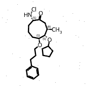 C[C@@H]1CC(=O)[C@@H](NCl)CCC[C@H](OCCCc2ccccc2)[C@H]1OC1CCCC1